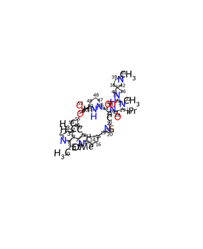 CCn1c(-c2cccnc2[C@H](C)OC)c2c3cc(ccc31)-c1csc(n1)C[C@H](NC(=O)C(C(C)C)N(C)C(=O)N1CC3(CCN(C)C3)C1)C(=O)N1CCC[C@H](N1)C(=O)OCC(C)(C)C2